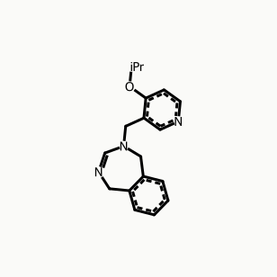 CC(C)Oc1ccncc1CN1C=NCc2ccccc2C1